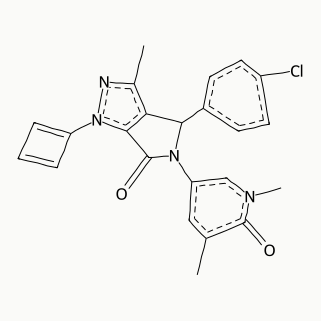 Cc1nn(C2=CC=C2)c2c1C(c1ccc(Cl)cc1)N(c1cc(C)c(=O)n(C)c1)C2=O